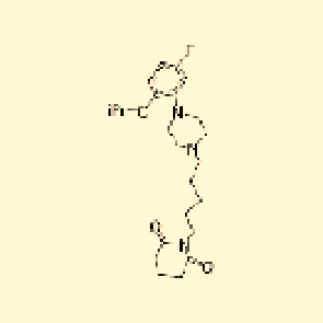 CC(C)Oc1ccc(F)cc1N1CCN(CCCCCN2C(=O)CCCC2=O)CC1